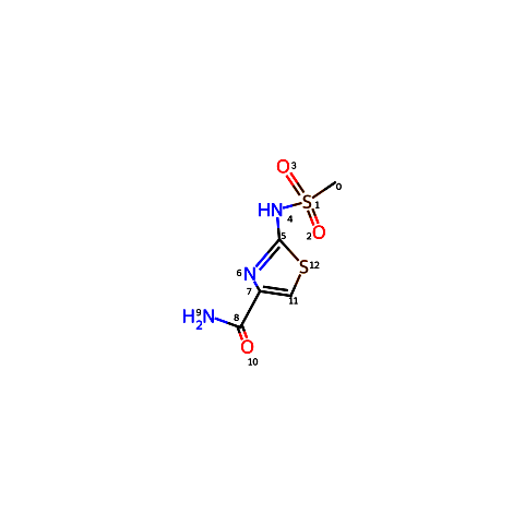 CS(=O)(=O)Nc1nc(C(N)=O)cs1